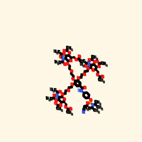 CC(=O)N[C@H]1[C@H](OCCOCCOc2cc(C(=O)N[C@H]3CC[C@@H](OP(OCCC#N)N(C(C)C)C(C)C)CC3)cc(OCCOCCO[C@@H]3O[C@H](COC(C)=O)[C@H](OC(C)=O)[C@H](OC(C)=O)[C@H]3NC(C)=O)c2OCCOCCO[C@@H]2O[C@H](COC(C)=O)[C@H](OC(C)=O)[C@H](OC(C)=O)[C@H]2NC(C)=O)O[C@H](COC(C)=O)[C@H](OC(C)=O)[C@@H]1OC(C)=O